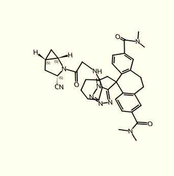 CN(C)C(=O)c1ccc2c(c1)CCc1cc(C(=O)N(C)C)ccc1C2(CC1(NCC(=O)N2[C@H](C#N)C[C@@H]3C[C@@H]32)CCCCC1)c1nnn[nH]1